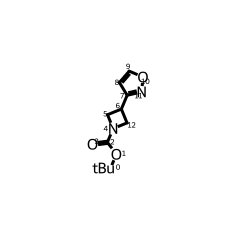 CC(C)(C)OC(=O)N1CC(c2ccon2)C1